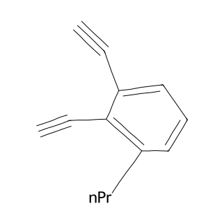 C#Cc1cccc(CCC)c1C#C